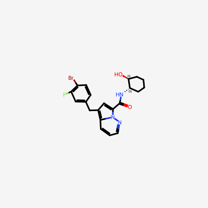 O=C(N[C@H]1CCCC[C@@H]1O)c1cc(Cc2ccc(Br)c(F)c2)c2cccnn12